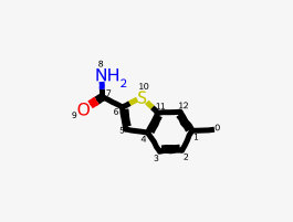 Cc1ccc2cc(C(N)=O)sc2c1